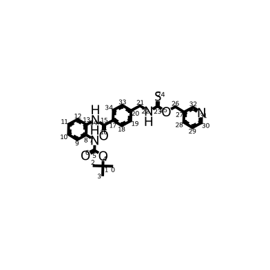 CC(C)(C)OC(=O)Nc1ccccc1NC(=O)c1ccc(CNC(=S)OCc2cccnc2)cc1